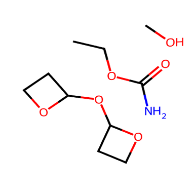 C1CC(OC2CCO2)O1.CCOC(N)=O.CO